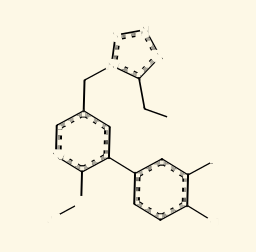 COc1ncc(Cn2nnnc2CO)cc1-c1ccc(Cl)c(F)c1